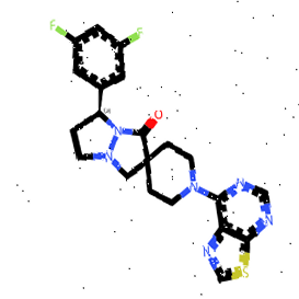 O=C1N2[C@H](c3cc(F)cc(F)c3)CCN2CC12CCN(c1ncnc3scnc13)CC2